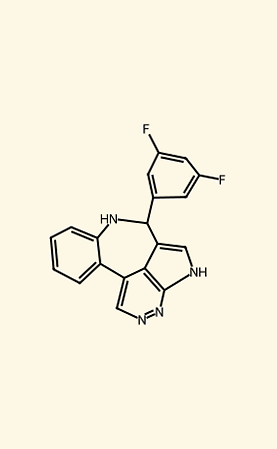 Fc1cc(F)cc(C2Nc3ccccc3-c3cnnc4[nH]cc2c34)c1